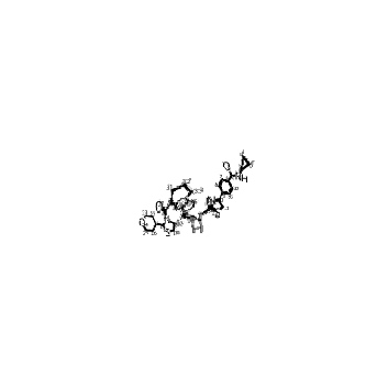 O=C(NC1CC1)c1ccc(-c2csc(NC(=O)[C@@H]3CSC(C4CCOCC4)N3C(=O)[C@H]3CCCO3)n2)cc1